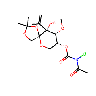 C=C(C)[C@@]1(O)[C@H](OC)[C@H](OC(=O)N(Cl)C(C)=O)CO[C@]12COC(C)(C)O2